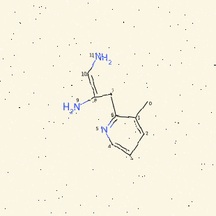 Cc1cccnc1C/C(N)=C\N